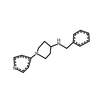 c1ccc(CNC2CCN(c3ccncc3)CC2)cc1